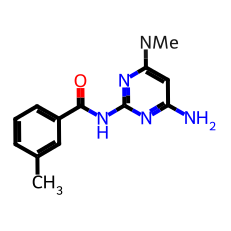 CNc1cc(N)nc(NC(=O)c2cccc(C)c2)n1